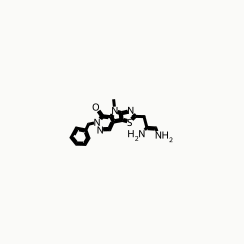 Cn1c2nc(C/C(N)=C/N)sc2c2cnn(Cc3ccccc3)c(=O)c21